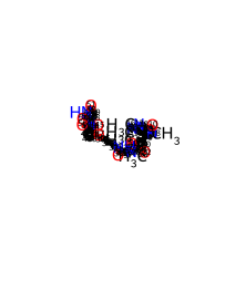 COc1cc(-c2cn(C)c(=O)c3cnc(N(C)C)cc23)cc(OC)c1CN1CC(C(=O)NCCCCCOc2cccc3c2C(=O)N(C2CCC(=O)NC2=O)C3=O)C1